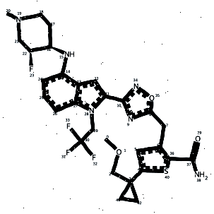 COCC1(c2cc(Cc3nc(-c4cc5c(N[C@@H]6CCN(C)C[C@@H]6F)cccc5n4CC(F)(F)F)no3)c(C(N)=O)s2)CC1